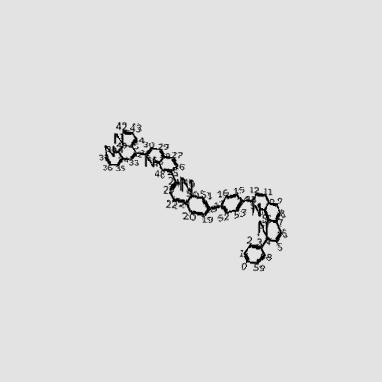 c1ccc(-c2ccc3ccc4ccc(-c5ccc(-c6ccc7ccc(-c8ccc9ccc(-c%10cc%11cccnc%11c%11ncccc%10%11)nc9c8)nc7c6)cc5)nc4c3n2)cc1